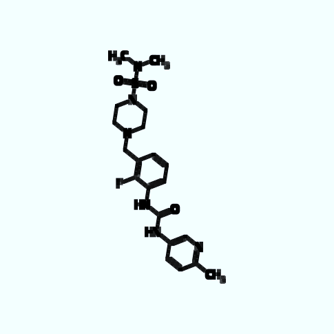 Cc1ccc(NC(=O)Nc2cccc(CN3CCN(S(=O)(=O)N(C)C)CC3)c2F)cn1